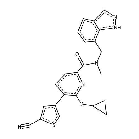 CN(Cc1cccc2cn[nH]c12)C(=O)c1ccc(-c2csc(C#N)c2)c(OC2CC2)n1